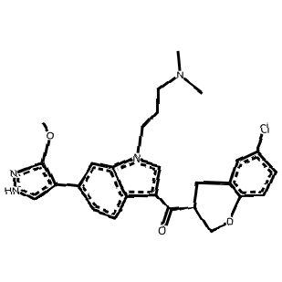 COc1n[nH]cc1-c1ccc2c(C(=O)[C@@H]3COc4ccc(Cl)cc4C3)cn(CCCN(C)C)c2c1